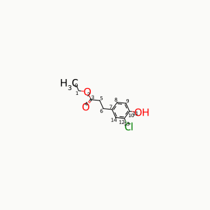 CCOC(=O)CCc1ccc(O)c(Cl)c1